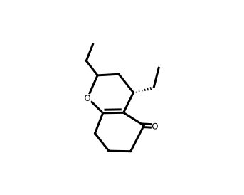 CCC1C[C@H](CC)C2=C(CCCC2=O)O1